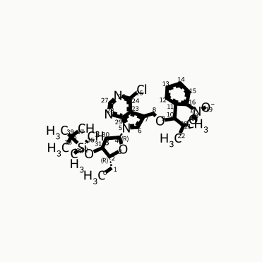 CC[C@H]1O[C@@H](n2cc(COC(c3ccccc3[N+](=O)[O-])C(C)C)c3c(Cl)ncnc32)CC1O[Si](C)(C)C(C)(C)C